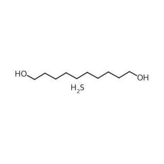 OCCCCCCCCCCO.S